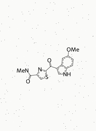 CNC(=O)c1csc(C(=O)c2c[nH]c3ccc(OC)cc23)n1